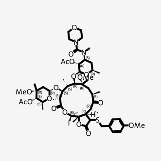 COc1ccc(CSC2C(=O)O[C@@]3(C)[C@H]2[C@@H](C)C(=O)[C@H](C)C[C@@](C)(OC)[C@H](O[C@@H]2O[C@H](C)C[C@H](N(C)C(=O)N4CCOCC4)[C@H]2OC(C)=O)[C@@H](C)[C@H](O[C@H]2C[C@@](C)(OC)[C@@H](OC(C)=O)[C@H](C)O2)[C@@H](C)C(=O)O[C@@H]3I)cc1